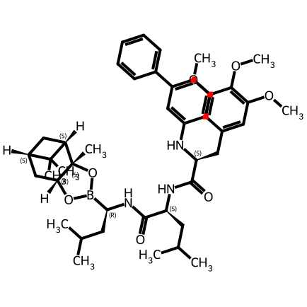 COc1cc(C[C@H](Nc2cccc(-c3ccccc3)c2)C(=O)N[C@@H](CC(C)C)C(=O)N[C@@H](CC(C)C)B2O[C@@H]3C[C@@H]4C[C@@H](C4(C)C)[C@]3(C)O2)cc(OC)c1OC